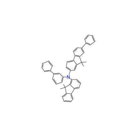 CC1(C)c2cc(-c3ccccc3)ccc2-c2ccc(N(c3cccc(-c4ccccc4)c3)c3cccc4c3C(C)(C)c3ccccc3-4)cc21